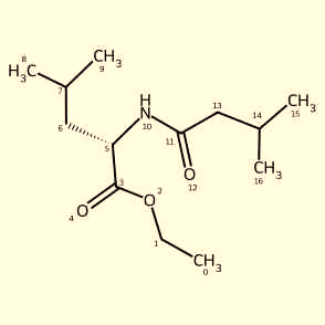 CCOC(=O)[C@H](CC(C)C)NC(=O)CC(C)C